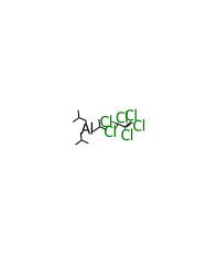 CC(C)[CH2][Al]([CH2]C(C)C)[CH2]C(C)C.ClC(Cl)=C(Cl)C(Cl)(Cl)Cl